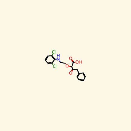 O=C(O)C(OCCNc1c(Cl)cccc1Cl)C(=O)Cc1ccccc1